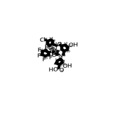 O=C(O)c1ccc(N(Cc2cc(O)cc(O)c2)C(=O)CN(Cc2ccc(Cl)cc2)S(=O)(=O)c2c(F)c(F)c(F)c(F)c2F)cc1O